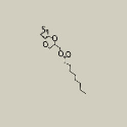 CCCCCCCCC(=O)OCC1COc2cscc2O1